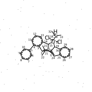 CC1=Cc2c(-c3ccccc3)cccc2[CH]1[Zr]([Cl])([Cl])([CH]1C(C(C)C)=Cc2ccccc21)[SiH](C)C